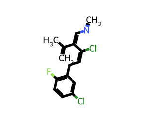 C=N/C=C(C(=C)C)\C(Cl)=C/Cc1cc(Cl)ccc1F